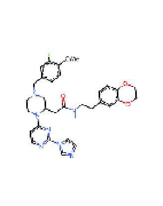 COc1ccc(CN2CCN(c3ccnc(-n4ccnc4)n3)C(CC(=O)NCCc3ccc4c(c3)OCCO4)C2)cc1F